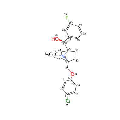 O=C(O)N1C2(COc3ccc(Cl)cc3)CCC1([C@@H](O)c1cccc(F)c1)CC2